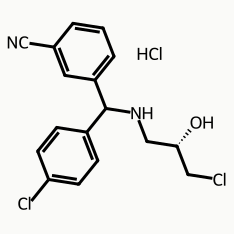 Cl.N#Cc1cccc(C(NC[C@H](O)CCl)c2ccc(Cl)cc2)c1